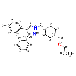 Cc1ccc(-c2cn(C[C@H]3CC[C@@H](COCC(=O)O)CC3)nc2-c2ccccc2)cc1